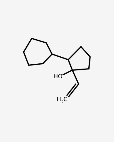 C=CC1(O)CCCC1C1CCCCC1